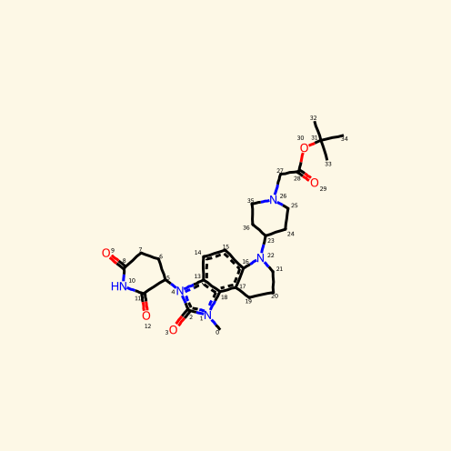 Cn1c(=O)n(C2CCC(=O)NC2=O)c2ccc3c(c21)CCCN3C1CCN(CC(=O)OC(C)(C)C)CC1